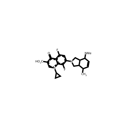 CNC1C=CC(C)C2CN(c3cc(F)c4c(=O)c(C(=O)O)cn(C5CC5)c4c3F)CC12